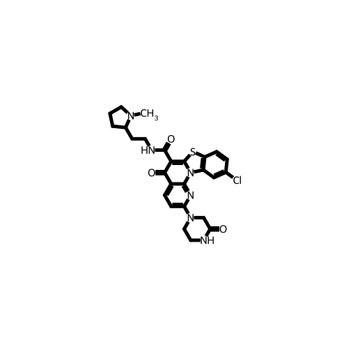 CN1CCCC1CCNC(=O)c1c(=O)c2ccc(N3CCNC(=O)C3)nc2n2c1sc1ccc(Cl)cc12